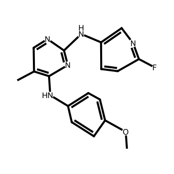 COc1ccc(Nc2nc(Nc3ccc(F)nc3)ncc2C)cc1